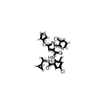 Cc1cc(Cl)cc(C(=O)NC(C)C2CC2)c1NC(=O)c1cc(Oc2ccsc2)nn1-c1ncccc1Cl